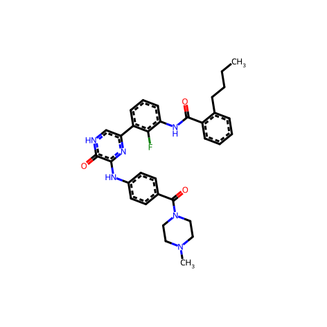 CCCCc1ccccc1C(=O)Nc1cccc(-c2c[nH]c(=O)c(Nc3ccc(C(=O)N4CCN(C)CC4)cc3)n2)c1F